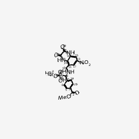 Br.COC(=O)c1ccc(C(NCc2cc([N+](=O)[O-])cc3[nH]c(=O)c(=O)[nH]c23)P(=O)(O)O)cc1